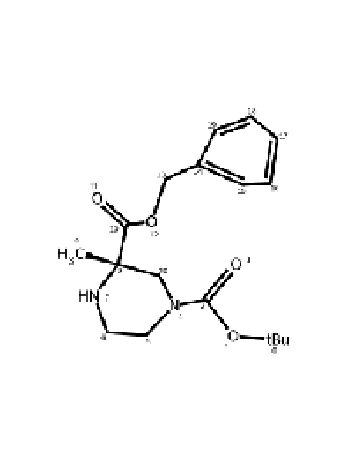 CC(C)(C)OC(=O)N1CCN[C@](C)(C(=O)OCc2ccccc2)C1